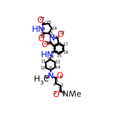 CNC(=O)CCC(=O)N(C)C1CCC(Nc2cccc3c2C(=O)N(C2CCC(=O)NC2=O)C3=O)CC1